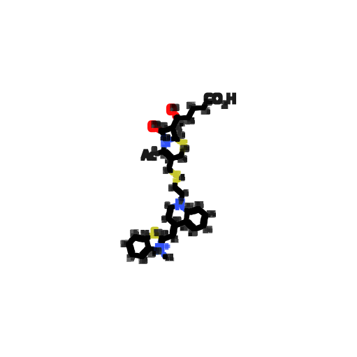 CC(=O)C1=C(CSCCN2C=CC(=Cc3sc4ccccc4[n+]3C)c3ccccc32)CSC2C(C(=O)CCCC(=O)O)C(=O)N12